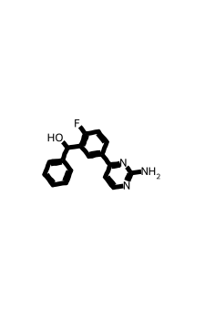 Nc1nccc(-c2ccc(F)c(C(O)c3ccccc3)c2)n1